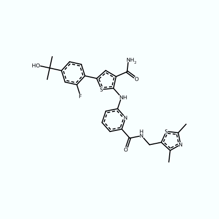 Cc1nc(C)c(CNC(=O)c2cccc(Nc3sc(-c4ccc(C(C)(C)O)cc4F)cc3C(N)=O)n2)s1